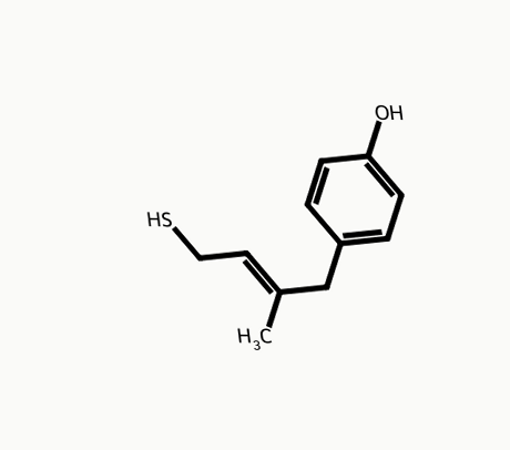 CC(=CCS)Cc1ccc(O)cc1